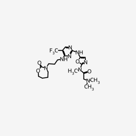 CN(C)CC(=O)N(C)c1ncc(Nc2ncc(C(F)(F)F)c(NCCCN3CCCCOC3=O)n2)o1